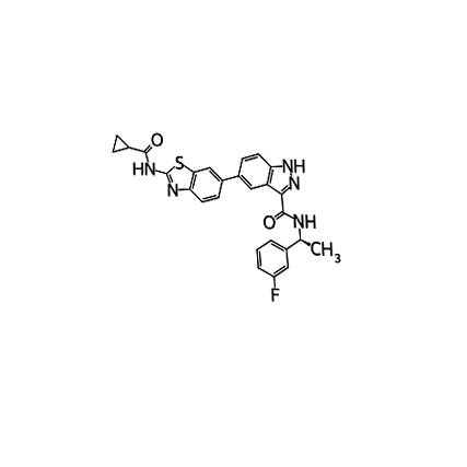 C[C@H](NC(=O)c1n[nH]c2ccc(-c3ccc4nc(NC(=O)C5CC5)sc4c3)cc12)c1cccc(F)c1